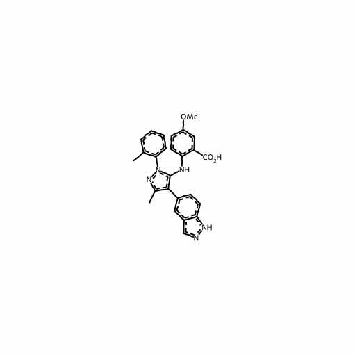 COc1ccc(Nc2c(-c3ccc4[nH]ncc4c3)c(C)nn2-c2ccccc2C)c(C(=O)O)c1